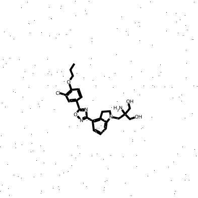 CCCOc1ccc(-c2nc(-c3cccc4c3CCN4CC(N)(CO)CO)no2)cc1Cl